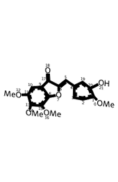 COc1ccc(C=C2Oc3c(cc(OC)c(OC)c3OC)C2=O)cc1O